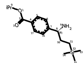 CC(C)OC(=O)c1ccc([C@H](N)CC[Si](C)(C)C)cc1